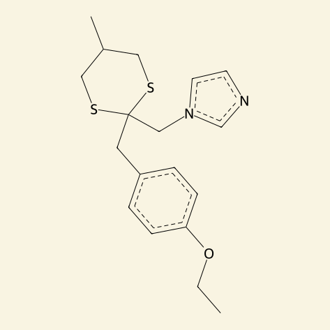 CCOc1ccc(CC2(Cn3ccnc3)SCC(C)CS2)cc1